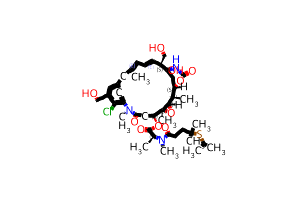 C/C1=C\C=C\[C@@H](CO)[C@@]2(O)C[C@H](OC(=O)N2)[C@@H](C)[C@@H]2O[C@@]2(C)[C@@H](OC(=O)[C@H](C)N(C)C(=O)CCC(C)(C)SC(C)C)CC(=O)N(C)c2cc(cc(CO)c2Cl)C1